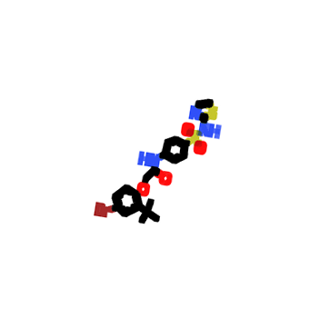 CC(C)(C)c1cc(Br)ccc1OCC(=O)Nc1ccc(S(=O)(=O)Nc2nccs2)cc1